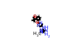 Cn1cc(N)c(Nc2cnc(Oc3cccc4c3C3(CC3)CO4)nc2)n1